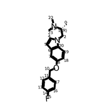 C[C@H](Cn1ccc2cc(OCc3ccc(F)cc3)ccc21)N(C)C